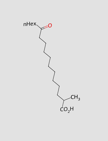 CCCCCCC(=O)CCCCCCCCCC(C)C(=O)O